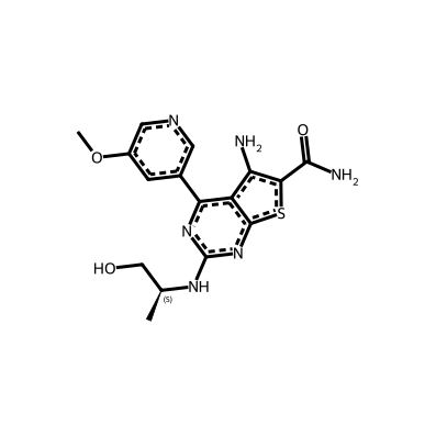 COc1cncc(-c2nc(N[C@@H](C)CO)nc3sc(C(N)=O)c(N)c23)c1